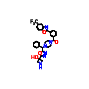 O=C(c1cccc(-c2nc3cc(C(F)(F)F)ccc3o2)c1)N1CCN(C(c2ccccc2)c2nnc(C3(O)CNC3)o2)CC1